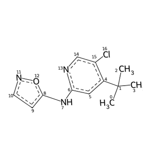 CC(C)(C)c1cc(Nc2ccno2)ncc1Cl